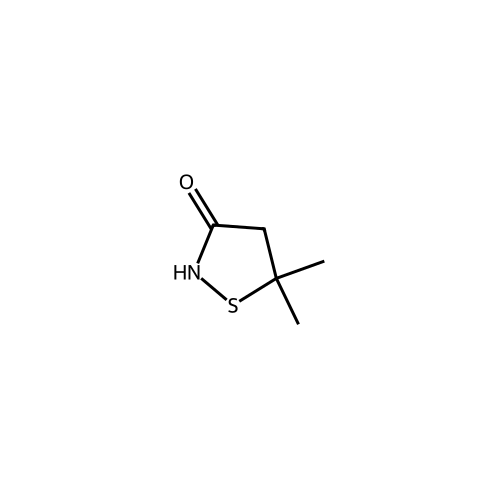 CC1(C)CC(=O)NS1